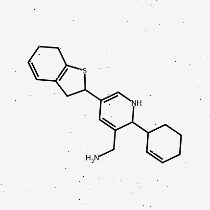 NCC1=CC(C2CC3=C(CCC=C3)S2)=CNC1C1C=CCCC1